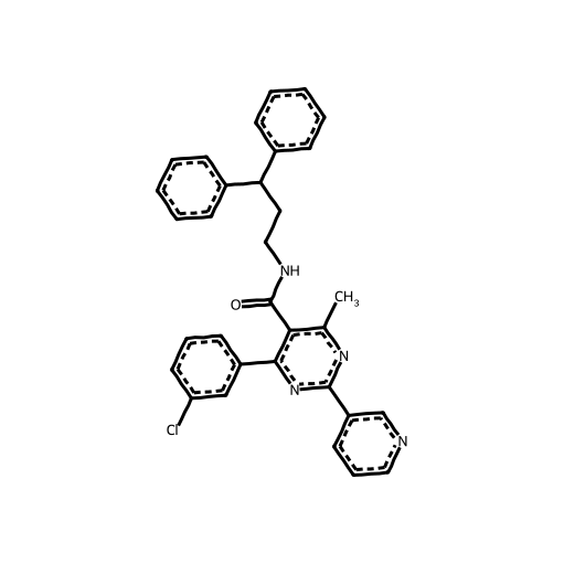 Cc1nc(-c2cccnc2)nc(-c2cccc(Cl)c2)c1C(=O)NCCC(c1ccccc1)c1ccccc1